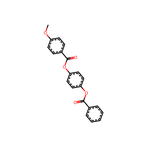 COc1ccc(C(=O)Oc2ccc(OC(=O)c3ccccc3)cc2)cc1